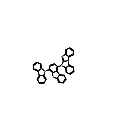 c1ccc2c(c1)nc1n(-c3ccc(-n4c5ccccc5c5ccccc54)c4oc5ccccc5c34)c3ccccc3n21